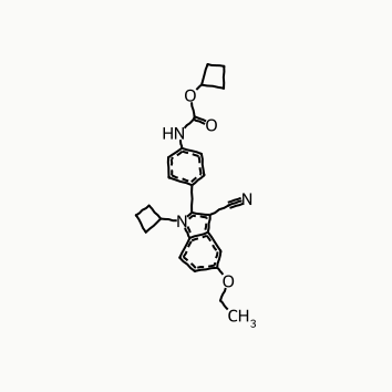 CCOc1ccc2c(c1)c(C#N)c(-c1ccc(NC(=O)OC3CCC3)cc1)n2C1CCC1